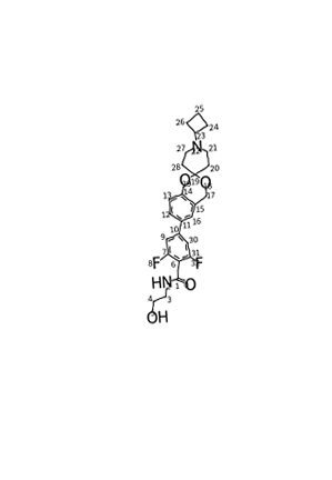 O=C(NCCO)c1c(F)cc(-c2ccc3c(c2)COC2(CCN(C4CCC4)CC2)O3)cc1F